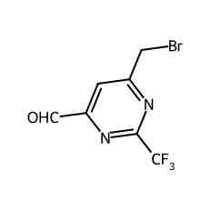 O=Cc1cc(CBr)nc(C(F)(F)F)n1